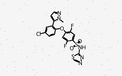 Cn1nccc1-c1cc(Cl)ccc1Oc1cc(F)c(S(=O)(=O)Nc2nncs2)cc1F